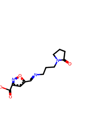 COC(=O)c1cc(/C=N/CCCN2CCCC2=O)on1